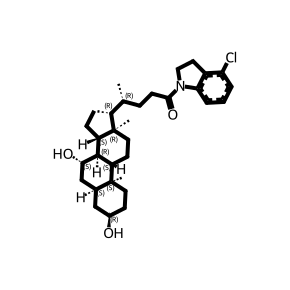 C[C@H](CCC(=O)N1CCc2c(Cl)cccc21)[C@H]1CC[C@H]2[C@@H]3[C@@H](O)C[C@@H]4C[C@H](O)CC[C@]4(C)[C@H]3CC[C@]12C